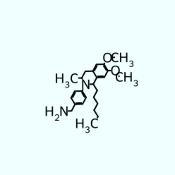 CCCCCCC1c2cc(OC)c(OC)cc2CC(C)N1c1ccc(CN)cc1